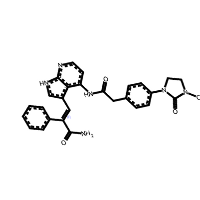 CN1CCN(c2ccc(CC(=O)Nc3ccnc4[nH]cc(/C=C(/C(N)=O)c5ccccc5)c34)cc2)C1=O